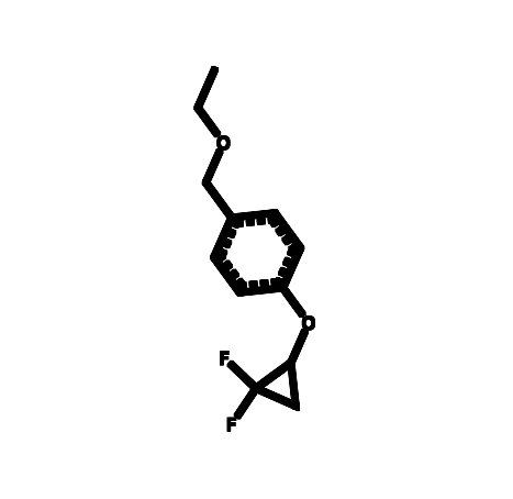 CCOCc1ccc(OC2CC2(F)F)cc1